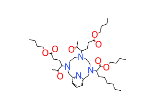 CCCCCCC(C(=O)OCCCC)N1CCN(C(CCC(=O)OCCCC)C(C)=O)CCN(C(CCC(=O)OCCCC)C(C)=O)Cc2cccc(n2)C1